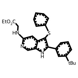 CCOC(=O)CNc1cc2c(Sc3ccccc3)c(-c3cccc(C(C)(C)C)c3)[nH]c2cn1